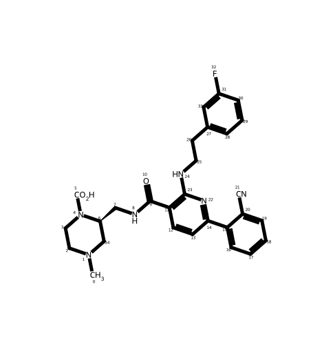 CN1CCN(C(=O)O)[C@@H](CNC(=O)c2ccc(-c3ccccc3C#N)nc2NCCc2cccc(F)c2)C1